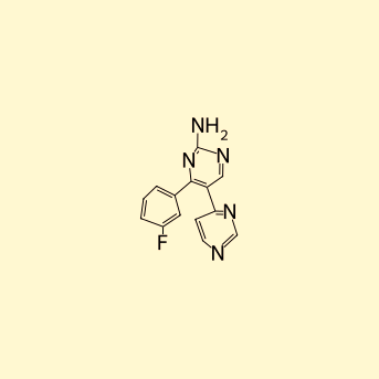 Nc1ncc(-c2ccncn2)c(-c2cccc(F)c2)n1